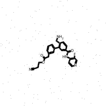 N#CCCOC(=O)Cc1cccc(-c2cc(C(=O)Nc3ccncc3F)ccc2CN)c1